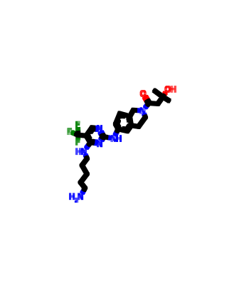 CC(C)(O)CC(=O)N1CCc2cc(Nc3ncc(C(F)(F)F)c(NCCCCCN)n3)ccc2C1